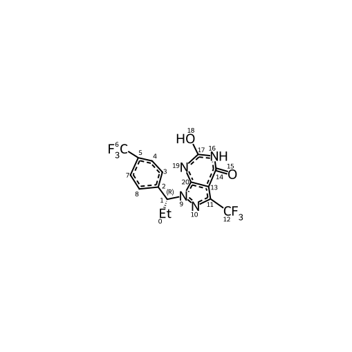 CC[C@H](c1ccc(C(F)(F)F)cc1)n1nc(C(F)(F)F)c2c(=O)[nH]c(O)nc21